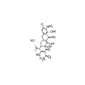 CN(C)C1C(O)=C(C(N)=O)C(=O)C2(O)C(O)=C3C(=O)c4c(cc(Cl)c(N)c4O)CC3CC12.Cl